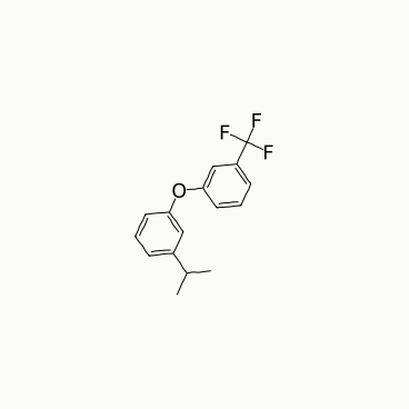 CC(C)c1cccc(Oc2cccc(C(F)(F)F)c2)c1